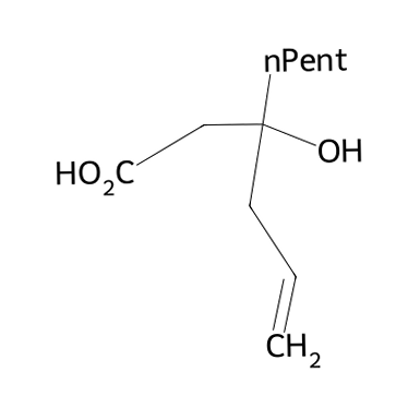 C=CCC(O)(CCCCC)CC(=O)O